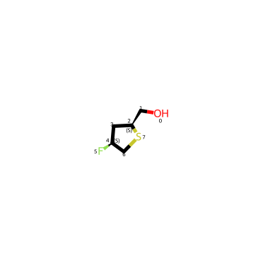 OC[C@@H]1C[C@H](F)CS1